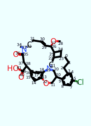 CCCc1cc(Cl)ccc1C1COc2ccc3cc2N(C1)CC1CCC1C(OC)/C=C/CCN(C)C(=O)CC3C(=O)O